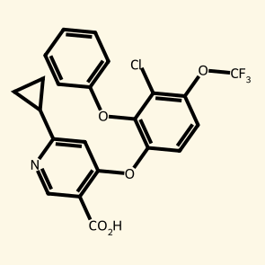 O=C(O)c1cnc(C2CC2)cc1Oc1ccc(OC(F)(F)F)c(Cl)c1Oc1ccccc1